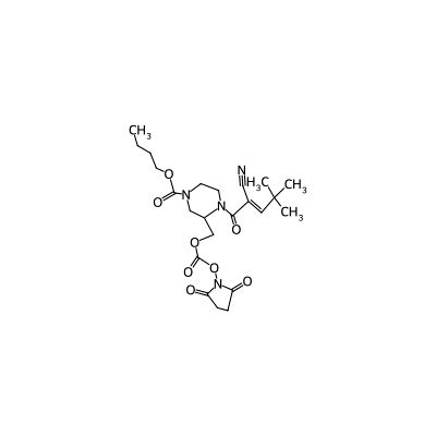 CCCCOC(=O)N1CCN(C(=O)C(C#N)=CC(C)(C)C)C(COC(=O)ON2C(=O)CCC2=O)C1